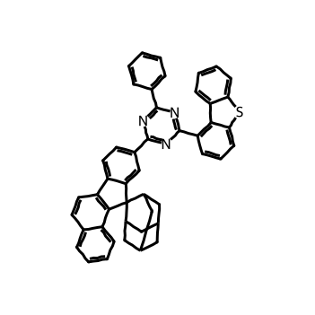 c1ccc(-c2nc(-c3ccc4c(c3)C3(c5c-4ccc4ccccc54)C4CC5CC(C4)CC3C5)nc(-c3cccc4sc5ccccc5c34)n2)cc1